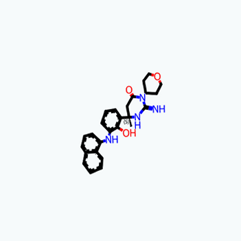 C[C@@]1(c2cccc(Nc3cccc4ccccc34)c2O)CC(=O)N(C2CCOCC2)C(=N)N1